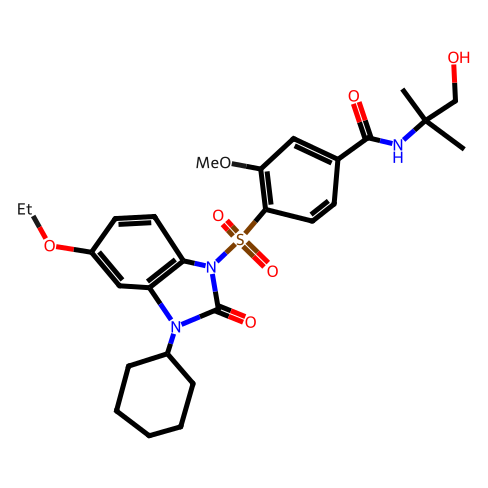 CCOc1ccc2c(c1)n(C1CCCCC1)c(=O)n2S(=O)(=O)c1ccc(C(=O)NC(C)(C)CO)cc1OC